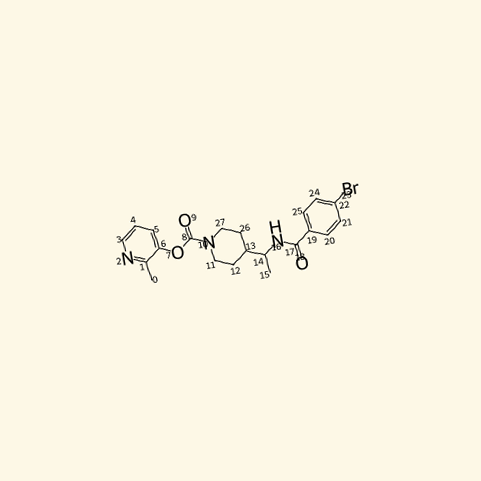 Cc1ncccc1OC(=O)N1CCC(C(C)NC(=O)c2ccc(Br)cc2)CC1